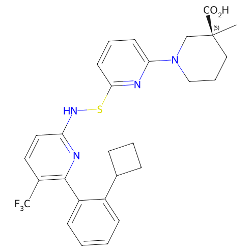 C[C@]1(C(=O)O)CCCN(c2cccc(SNc3ccc(C(F)(F)F)c(-c4ccccc4C4CCC4)n3)n2)C1